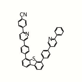 N#Cc1ccc(-c2ccc(-c3ccc(-c4cccc5c4sc4c(-c6ccc(-c7ccc(-c8ccccc8)nc7)cc6)cccc45)cc3)cn2)cc1